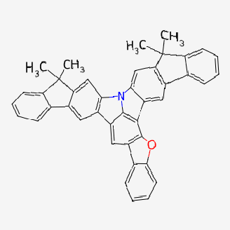 CC1(C)c2ccccc2-c2cc3c4cc5c6ccccc6oc5c5c6cc7c(cc6n(c3cc21)c45)C(C)(C)c1ccccc1-7